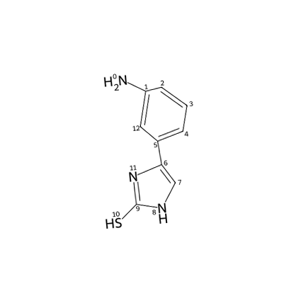 Nc1cccc(-c2c[nH]c(S)n2)c1